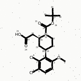 COc1ccc(Cl)c(Cl)c1[C@@H]1CCN(C(=O)OC(C)(C)C)[C@H](CC(=O)O)C1